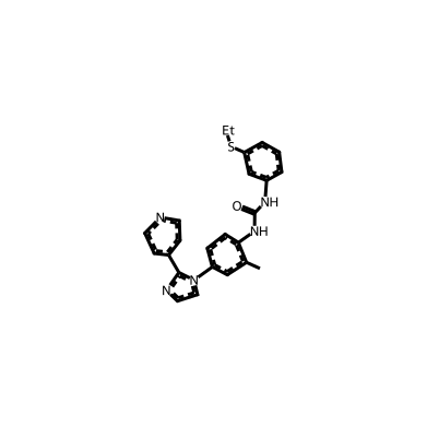 CCSc1cccc(NC(=O)Nc2ccc(-n3ccnc3-c3ccncc3)cc2C)c1